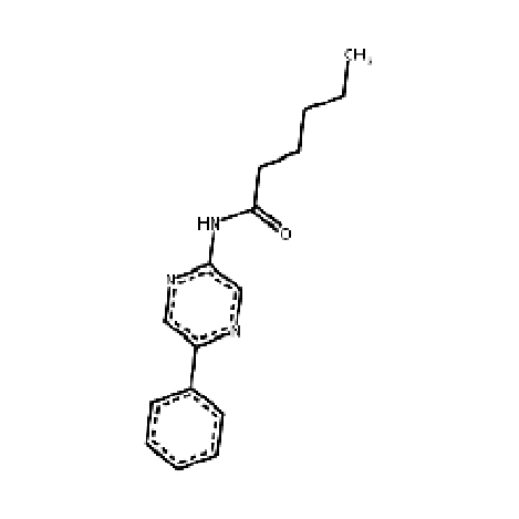 CCCCCC(=O)Nc1cnc(-c2ccccc2)cn1